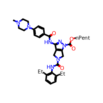 CCCCCOC(=O)n1nc(NC(=O)c2ccc(N3CCN(C)CC3)cc2)c2c1CN(C(=O)Nc1c(CC)cccc1CC)C2